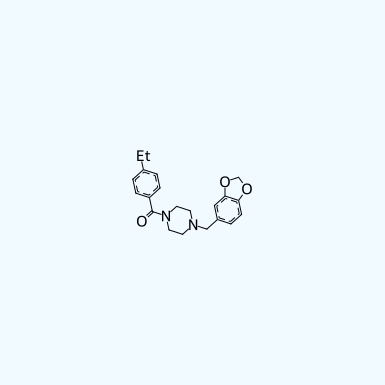 CCc1ccc(C(=O)N2CCN(Cc3ccc4c(c3)OCO4)CC2)cc1